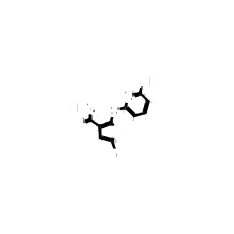 Cc1cccc(Nc2sc(I)cc2C(N)=O)n1